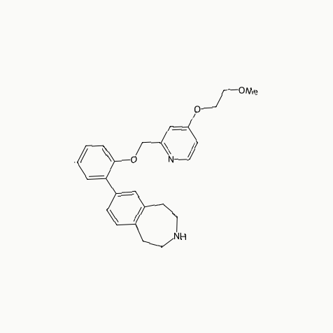 COCCOc1ccnc(COc2cc[c]cc2-c2ccc3c(c2)CCNCC3)c1